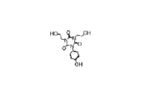 O=c1n(CCO)c(=O)n(-c2ccc(O)cc2)c(=O)n1CCO